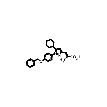 C/C(=C\c1cc(C2CCCCC2)n(-c2ccc(OCc3ccccc3)cc2)n1)C(=O)O